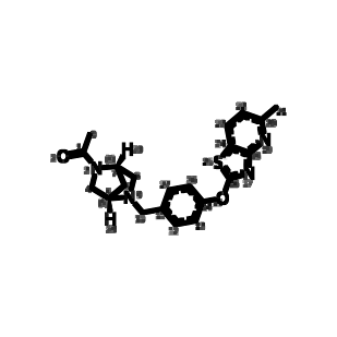 CC(=O)N1C[C@@H]2C[C@H]1CN2Cc1ccc(Oc2nc3nc(C)ccc3s2)cc1